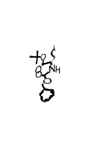 CC(C)(C)OC(=O)[C@H](CCI)NC(=O)OCc1ccccc1